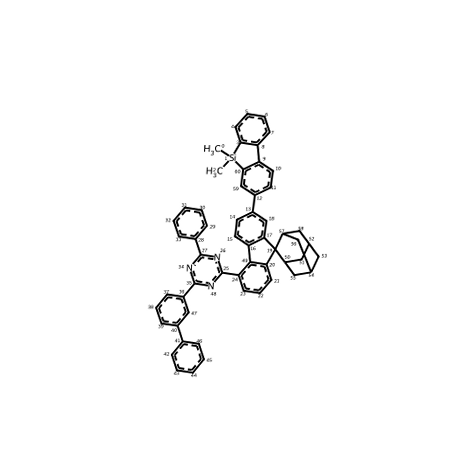 C[Si]1(C)c2ccccc2-c2ccc(-c3ccc4c(c3)C3(c5cccc(-c6nc(-c7ccccc7)nc(-c7cccc(-c8ccccc8)c7)n6)c5-4)C4CC5CC(C4)CC3C5)cc21